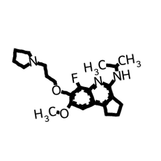 COc1cc2c3c(c(NC(C)C)nc2c(F)c1OCCCN1CCCC1)CCC3